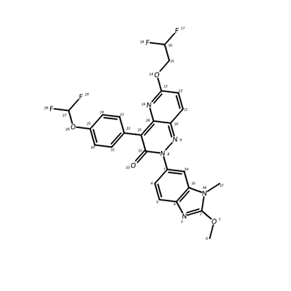 COc1nc2ccc(-n3nc4ccc(OCC(F)F)nc4c(-c4ccc(OC(F)F)cc4)c3=O)cc2n1C